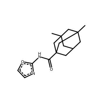 CC12CC3CC(C)(C1)CC(C(=O)Nc1ncco1)(C3)C2